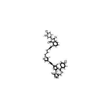 Cc1c(C#Cc2cnn(CCCC#Cc3cccc4c3C(=O)N(C3CCC(=O)NC3)C4=O)c2)sc2c1C(c1ccc(Cl)cc1)=NCc1nnc(C)n1-2